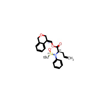 C=CC[C@H](C(=O)O/C=C1/COCc2ccccc21)N(c1ccccc1)[S@+]([O-])C(C)(C)C